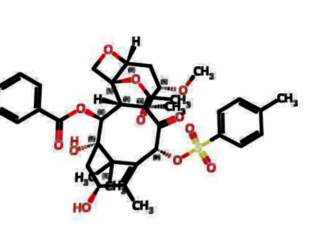 CO[C@H]1C[C@H]2OC[C@@]2(OC(C)=O)[C@H]2[C@H](OC(=O)c3ccccc3)[C@]3(O)C[C@H](O)C(C)=C([C@@H](OS(=O)(=O)c4ccc(C)cc4)C(=O)[C@]12C)C3(C)C